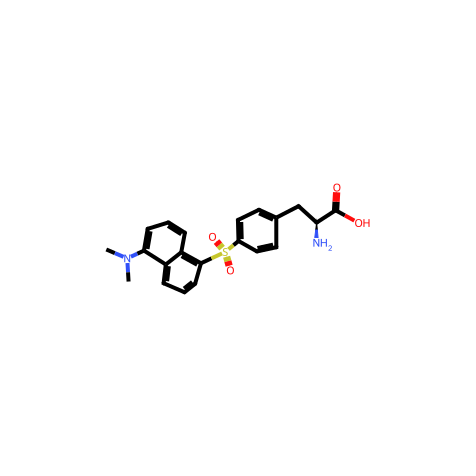 CN(C)c1cccc2c(S(=O)(=O)c3ccc(C[C@H](N)C(=O)O)cc3)cccc12